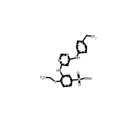 CNS(=O)(=O)c1ccc(SCC(F)(F)F)c(Nc2cc(Nc3ccc(CC(F)(F)F)cc3)ncn2)c1